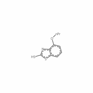 CCCOc1cccc2sc(S)nc12